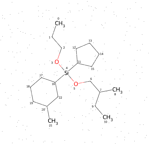 CCCO[Si](OCC(C)CC)(C1CCCC1)C1CCCC(C)C1